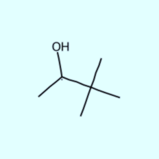 C[C](O)C(C)(C)C